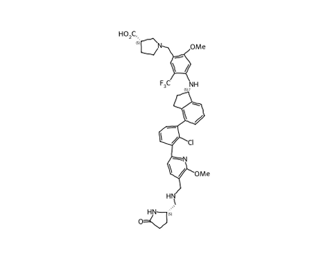 COc1cc(N[C@H]2CCc3c(-c4cccc(-c5ccc(CNC[C@@H]6CCC(=O)N6)c(OC)n5)c4Cl)cccc32)c(C(F)(F)F)cc1CN1CC[C@H](C(=O)O)C1